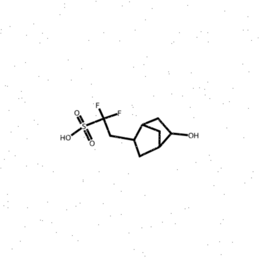 O=S(=O)(O)C(F)(F)CC1CC2CC1CC2O